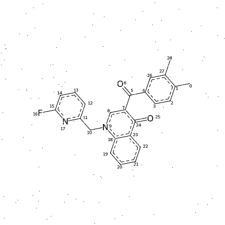 Cc1ccc(C(=O)c2cn(Cc3cccc(F)n3)c3ccccc3c2=O)cc1C